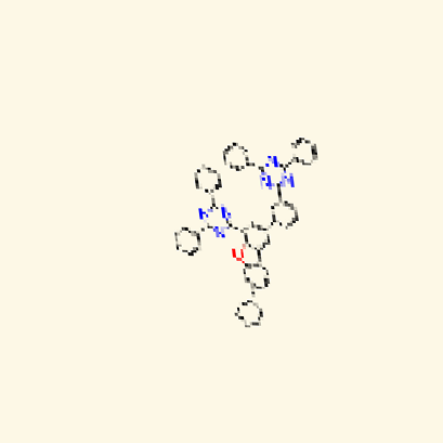 c1ccc(-c2ccc3c(c2)oc2c(-c4nc(-c5ccccc5)nc(-c5ccccc5)n4)cc(-c4cccc(-c5nc(-c6ccccc6)nc(-c6ccccc6)n5)c4)cc23)cc1